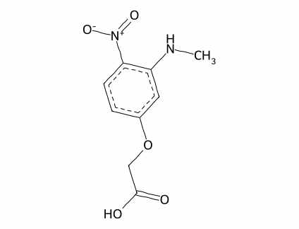 CNc1cc(OCC(=O)O)ccc1[N+](=O)[O-]